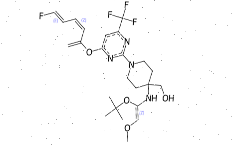 C=C(/C=C\C=C\F)Oc1cc(C(F)(F)F)nc(N2CCC(CO)(N/C(=C/OC)OC(C)(C)C)CC2)n1